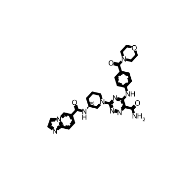 NC(=O)c1nnc(N2CCC[C@@H](NC(=O)c3ccc4nccn4c3)C2)nc1Nc1ccc(C(=O)N2CCOCC2)cc1